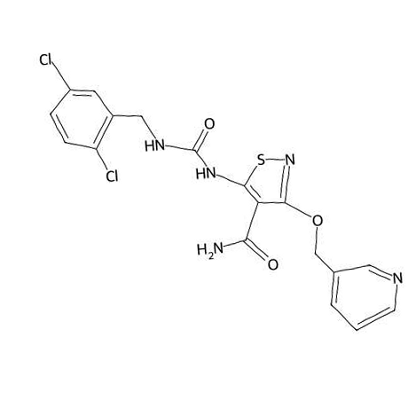 NC(=O)c1c(OCc2cccnc2)nsc1NC(=O)NCc1cc(Cl)ccc1Cl